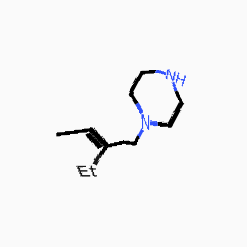 CC=C(CC)CN1CCNCC1